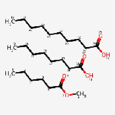 CCCCCC(=O)OC.CCCCCCCC(=O)O.CCCCCCCCCC(=O)O